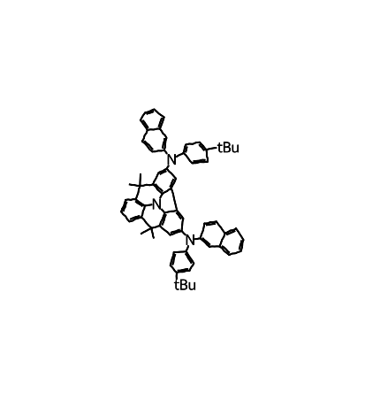 CC(C)(C)c1ccc(N(c2ccc3ccccc3c2)c2cc3c4c(c2)c2cc(N(c5ccc(C(C)(C)C)cc5)c5ccc6ccccc6c5)cc5c2n4-c2c(cccc2C5(C)C)C3(C)C)cc1